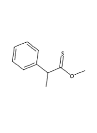 COC(=S)C(C)c1ccccc1